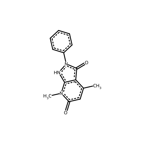 Cc1cc(=O)n(C)c2[nH]n(-c3ccccc3)c(=O)c12